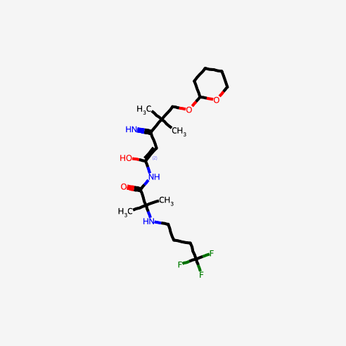 CC(C)(COC1CCCCO1)C(=N)/C=C(\O)NC(=O)C(C)(C)NCCCC(F)(F)F